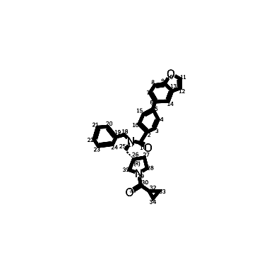 O=C(c1ccc(-c2ccc3occc3c2)cc1)N(Cc1ccccc1)C[C@@H]1CCN(C(=O)C2CC2)C1